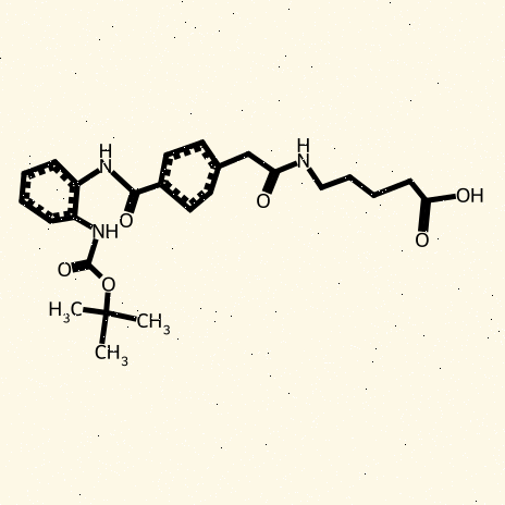 CC(C)(C)OC(=O)Nc1ccccc1NC(=O)c1ccc(CC(=O)NCCCCC(=O)O)cc1